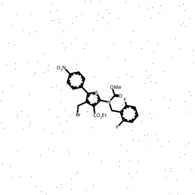 CCOC(=O)c1c(N(Cc2c(F)cccc2F)C(=O)OC)sc(-c2ccc([N+](=O)[O-])cc2)c1CBr